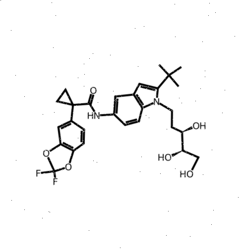 CC(C)(C)c1cc2cc(NC(=O)C3(c4ccc5c(c4)OC(F)(F)O5)CC3)ccc2n1CC[C@@H](O)[C@H](O)CO